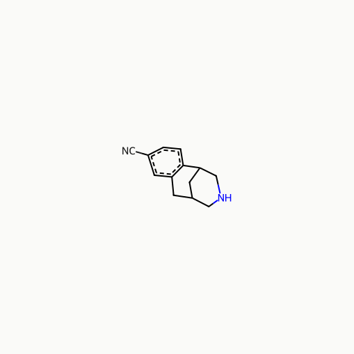 N#Cc1ccc2c(c1)CC1CNCC2C1